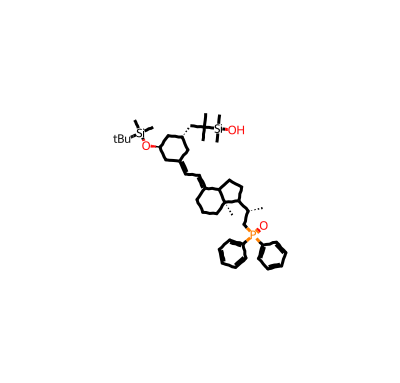 C[C@H](CP(=O)(c1ccccc1)c1ccccc1)C1CCC2/C(=C/C=C3\C[C@@H](CC(C)(C)[Si](C)(C)O)C[C@H](O[Si](C)(C)C(C)(C)C)C3)CCC[C@@]21C